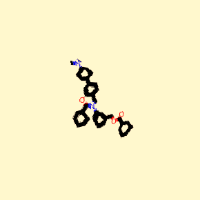 CN(C)c1ccc(-c2ccc(CN(C(=O)C3CCCCC3)c3cccc(COC(=O)C4CCCCC4)c3)cc2)cc1